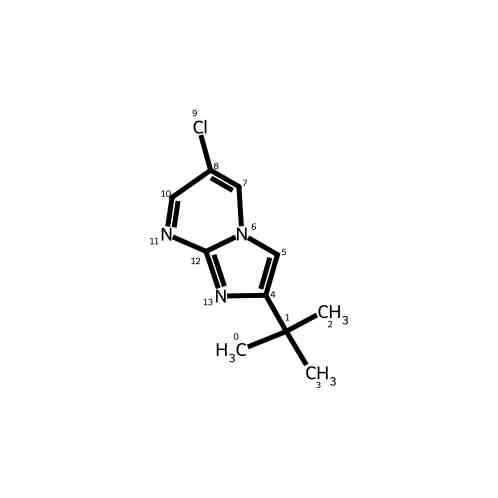 CC(C)(C)c1cn2cc(Cl)cnc2n1